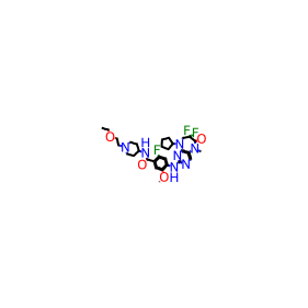 CCOCCN1CCC(NC(=O)c2cc(OC)c(Nc3ncc4c(n3)N(C3CCCC3)CC(F)(F)C(=O)N4C)cc2F)CC1